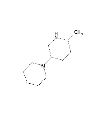 CC1CCC(N2CCCCC2)CN1